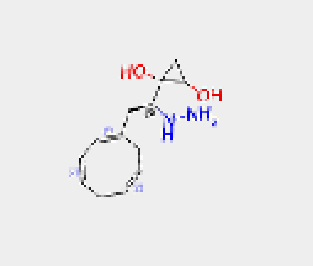 NN[C@@H](C/C1=C/C=C\C/C=C\C1)C1(O)CC1O